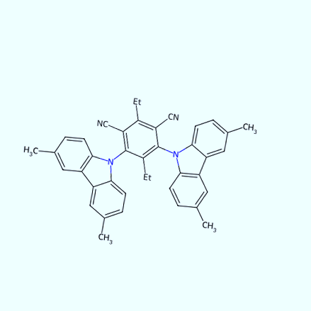 CCc1c(C#N)c(-n2c3ccc(C)cc3c3cc(C)ccc32)c(CC)c(-n2c3ccc(C)cc3c3cc(C)ccc32)c1C#N